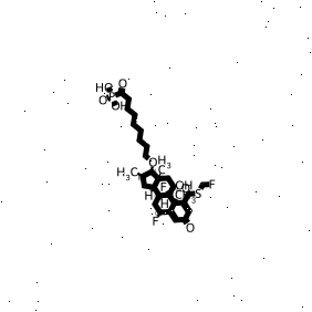 C[C@@H]1C[C@H]2[C@@H]3C[C@H](F)C4=CC(=O)C=C(C(=O)SCF)[C@@]4(C)[C@@]3(F)[C@@H](O)C[C@]2(C)[C@@H]1OCCCCCCCCC(=O)P(=O)(O)O